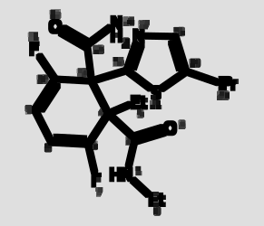 CCNC(=O)C1(CC)C(F)=CC=C(F)C1(C(N)=O)c1ncc(C(C)C)s1